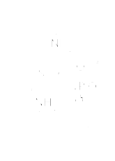 C=C(N)S/C(=C\N)CP(=O)(OCC)OCC